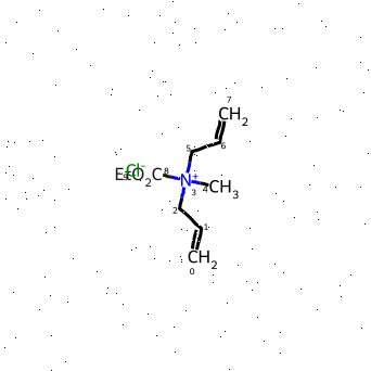 C=CC[N+](C)(CC=C)C(=O)OCC.[Cl-]